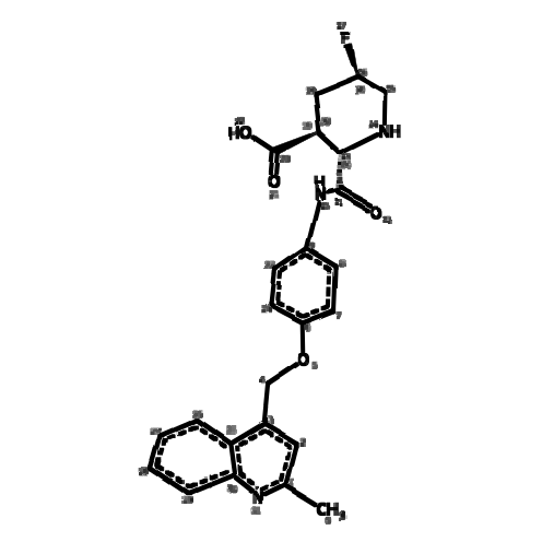 Cc1cc(COc2ccc(NC(=O)[C@H]3NC[C@H](F)C[C@@H]3C(=O)O)cc2)c2ccccc2n1